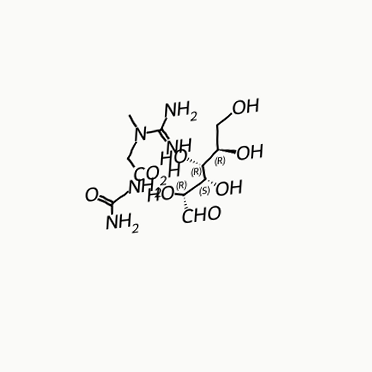 CN(CC(=O)O)C(=N)N.NC(N)=O.O=C[C@H](O)[C@@H](O)[C@H](O)[C@H](O)CO